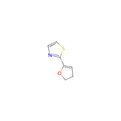 C1=C(c2nccs2)OCC1